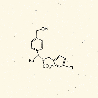 CC(C)(C)C(c1ccc(CO)cc1)N(Cc1ccc(Cl)cc1)C(=O)O